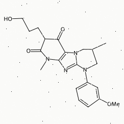 COc1cccc(N2CC(C)Cn3c2nc2c3C(=O)C(CCCO)C(=O)N2C)c1